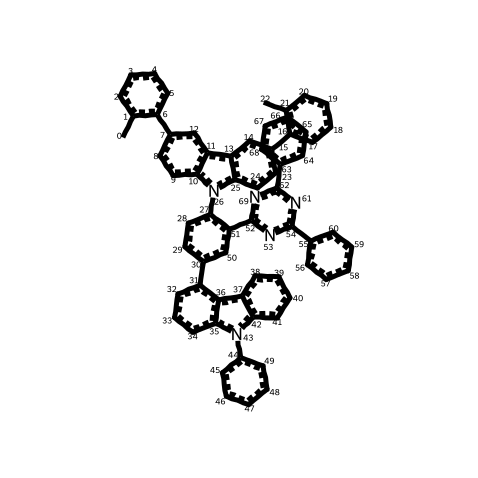 Cc1ccccc1-c1ccc2c(c1)c1cc(-c3ccccc3C)ccc1n2-c1ccc(-c2cccc3c2c2ccccc2n3-c2ccccc2)cc1-c1nc(-c2ccccc2)nc(-c2ccccc2)n1